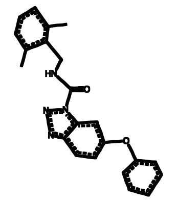 Cc1cccc(C)c1CNC(=O)n1nnc2ccc(Oc3ccccc3)cc21